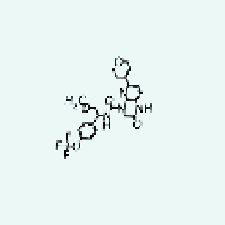 COCC(NC(=O)N1CC(=O)Nc2ccc(C3=CCOCC3)nc21)c1ccc(OC(F)(F)F)cc1